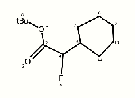 CC(C)(C)OC(=O)C(F)C1CCCCC1